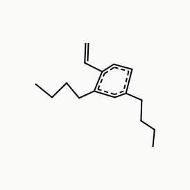 C=Cc1ccc(CCCC)cc1CCCC